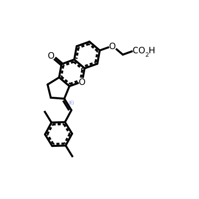 Cc1ccc(C)c(/C=C2\CCc3c2oc2cc(OCC(=O)O)ccc2c3=O)c1